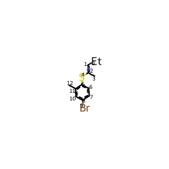 CC/C=C(\C)Sc1ccc(Br)cc1C